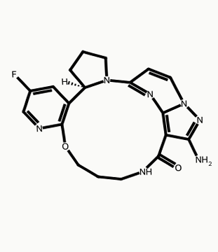 Nc1nn2ccc3nc2c1C(=O)NCCCOc1ncc(F)cc1[C@H]1CCCN31